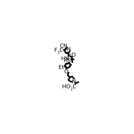 CCc1cc([SH]2NN(c3cnc(C#N)c(C(F)(F)F)c3)C(=O)C2(C)C)ccc1OCCC1CCN([C@H](C)C(=O)O)CC1